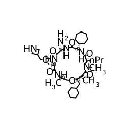 CCC[C@H]1C(=O)N[C@@H](C2CCCCCC2)C(=O)N[C@@H](CN)C(=O)N[C@@H](COCC2CNC2)C(=O)N[C@H](C)CO[C@H](CC2CCCCC2)[C@@H](C)C(=O)N1C